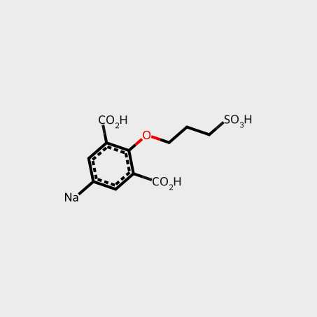 O=C(O)c1c[c]([Na])cc(C(=O)O)c1OCCCS(=O)(=O)O